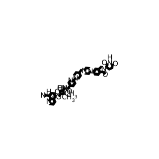 CC1(C)C(NC(=O)c2ccc(N3CCC(CN4CCN(c5ccc6c(c5)CN(C5CCC(=O)NC5=O)C6=O)CC4)CC3)nc2)C(C)(C)C1Oc1ccc(C#N)c2ncccc12